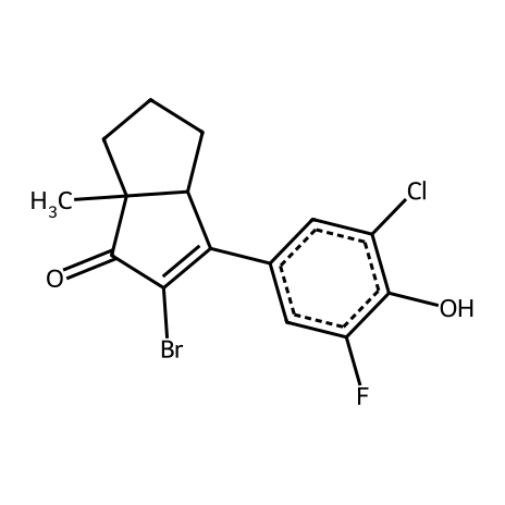 CC12CCCC1C(c1cc(F)c(O)c(Cl)c1)=C(Br)C2=O